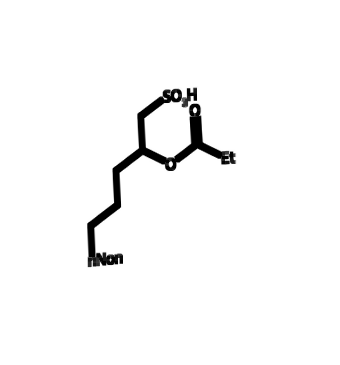 CCCCCCCCCCCCC(CS(=O)(=O)O)OC(=O)CC